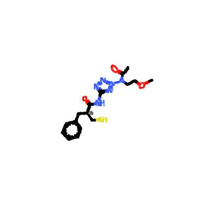 COCCN(C(C)=O)n1nnc(NC(=O)[C@@H](CS)Cc2ccccc2)n1